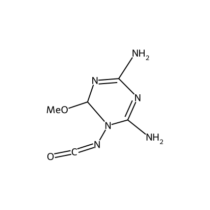 COC1N=C(N)N=C(N)N1N=C=O